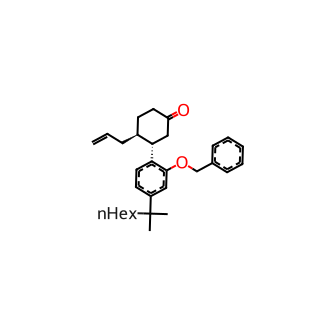 C=CC[C@H]1CCC(=O)C[C@@H]1c1ccc(C(C)(C)CCCCCC)cc1OCc1ccccc1